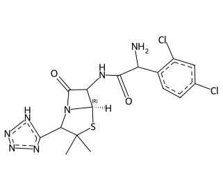 CC1(C)S[C@@H]2C(NC(=O)C(N)c3ccc(Cl)cc3Cl)C(=O)N2C1c1nnn[nH]1